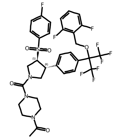 CC(=O)N1CCN(C(=O)N2C[C@@H](S(=O)(=O)c3ccc(F)cc3)[C@H](c3ccc(C(OCc4c(F)cccc4F)(C(F)(F)F)C(F)(F)F)cc3)C2)CC1